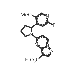 CCOC(=O)c1cnn2ccc(N3CCCC3c3cc(F)ncc3OC)nc12